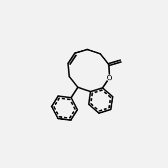 C=C1CC/C=C\CC(c2ccccc2)c2ccccc2O1